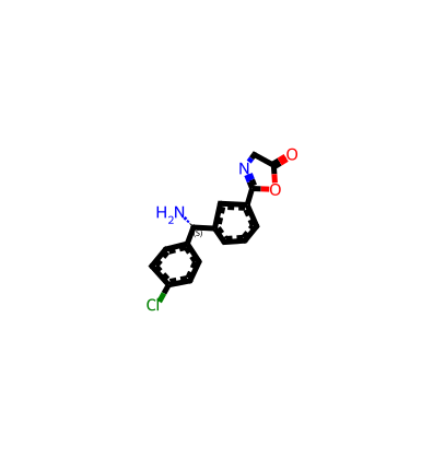 N[C@@H](c1ccc(Cl)cc1)c1cccc(C2=NCC(=O)O2)c1